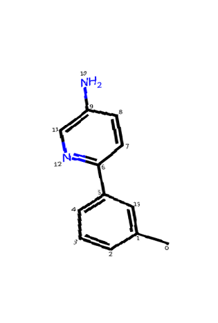 Cc1cccc(-c2ccc(N)cn2)c1